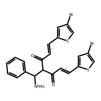 CC(=O)NC(c1ccccc1)C(C(=O)/C=C/c1cc(Br)cs1)C(=O)/C=C/c1cc(Br)cs1